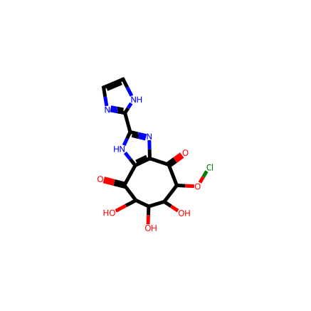 O=C1c2[nH]c(-c3ncc[nH]3)nc2C(=O)C(OCl)C(O)C(O)C1O